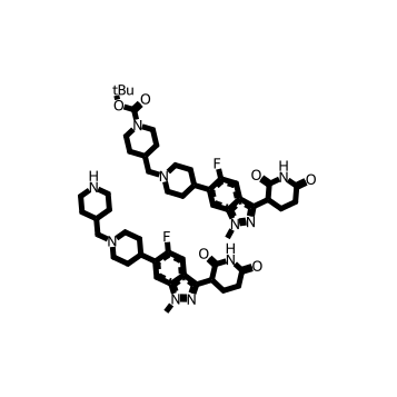 Cn1nc(C2CCC(=O)NC2=O)c2cc(F)c(C3CCN(CC4CCN(C(=O)OC(C)(C)C)CC4)CC3)cc21.Cn1nc(C2CCC(=O)NC2=O)c2cc(F)c(C3CCN(CC4CCNCC4)CC3)cc21